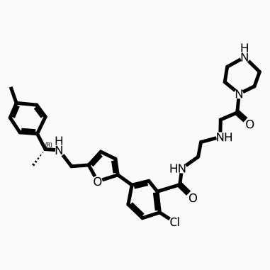 Cc1ccc([C@@H](C)NCc2ccc(-c3ccc(Cl)c(C(=O)NCCNCC(=O)N4CCNCC4)c3)o2)cc1